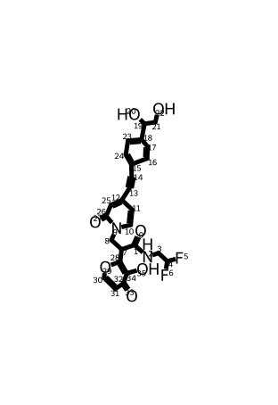 O=C(NCC(F)F)C(Cn1ccc(C#Cc2ccc(C(O)CO)cc2)cc1=O)c1occc(=O)c1O